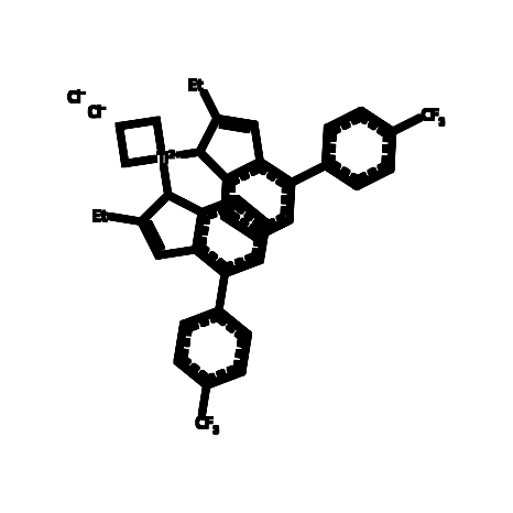 CCC1=Cc2c(-c3ccc(C(F)(F)F)cc3)cccc2[CH]1[Ti+2]1([CH]2C(CC)=Cc3c(-c4ccc(C(F)(F)F)cc4)cccc32)[CH2]C[CH2]1.[Cl-].[Cl-]